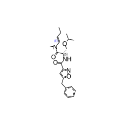 CC/C=C/N(C)C(=O)[C@H](COC(C)C)NC(=O)c1cc(Cc2ccccc2)on1